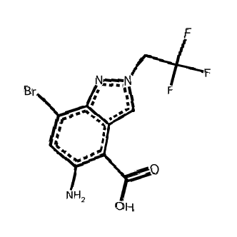 Nc1cc(Br)c2nn(CC(F)(F)F)cc2c1C(=O)O